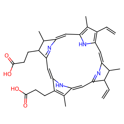 C=Cc1c(C)c2cc3nc(cc4[nH]c(cc5nc(cc1[nH]2)C(C)C5C=C)c(C)c4CCC(=O)O)C(CCC(=O)O)C3C